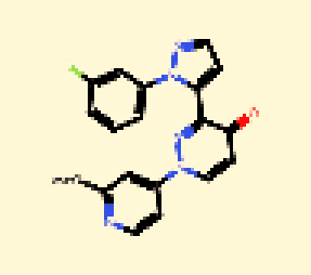 COc1cc(-n2ccc(=O)c(-c3ccnn3-c3cccc(F)c3)n2)ccn1